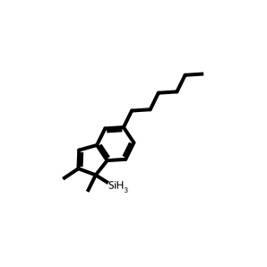 CCCCCCc1ccc2c(c1)C=C(C)C2(C)[SiH3]